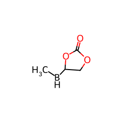 CBC1COC(=O)O1